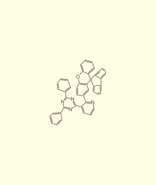 c1ccc(-c2nc(-c3ccccc3)nc(-c3cccnc3-c3ccc4c(c3)C3(c5ccccc5O4)c4ccccc4-c4ccccc43)n2)cc1